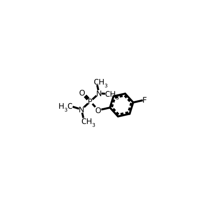 CN(C)P(=O)(Oc1ccc(F)cc1)N(C)C